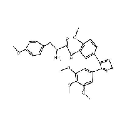 COc1ccc(CC(N)C(=O)Nc2cc(-c3csnc3-c3cc(OC)c(OC)c(OC)c3)ccc2OC)cc1